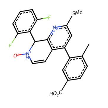 CSc1cc(-c2cc(C(=O)O)ccc2C)c2c(n1)C(c1c(F)cccc1F)[NH+]([O-])C=C2